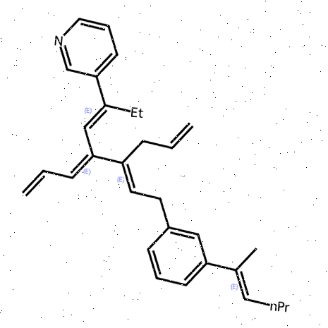 C=C/C=C(\C=C(/CC)c1cccnc1)C(=C/Cc1cccc(/C(C)=C/CCC)c1)/CC=C